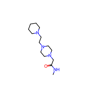 CNC(=O)CN1CCN(CCN2CCCCC2)CC1